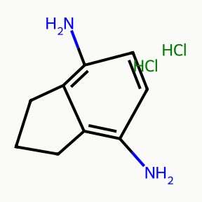 Cl.Cl.Nc1ccc(N)c2c1CCC2